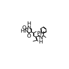 CC(C)=C(/C=C(\C)c1c[nH]c(=O)[nH]c1=O)C(=P)NC(C)c1ccccc1